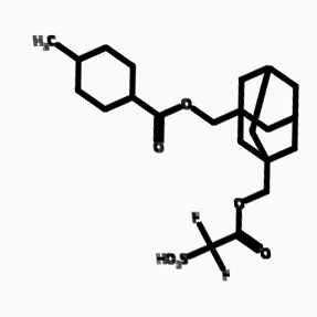 CC1CCC(C(=O)OCC23CC4CC(C2)CC(COC(=O)C(F)(F)S(=O)(=O)O)(C4)C3)CC1